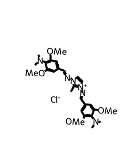 COc1cc(C=Nn2cc[n+](N=Cc3cc(OC)c(N(C)C)c(OC)c3)c2C)cc(OC)c1N(C)C.[Cl-]